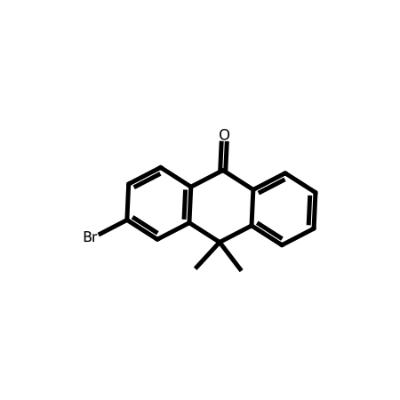 CC1(C)c2ccccc2C(=O)c2ccc(Br)cc21